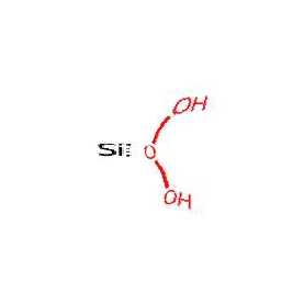 OOO.[Si]